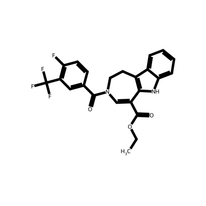 CCOC(=O)C1=CN(C(=O)c2ccc(F)c(C(F)(F)F)c2)CCc2c1[nH]c1ccccc21